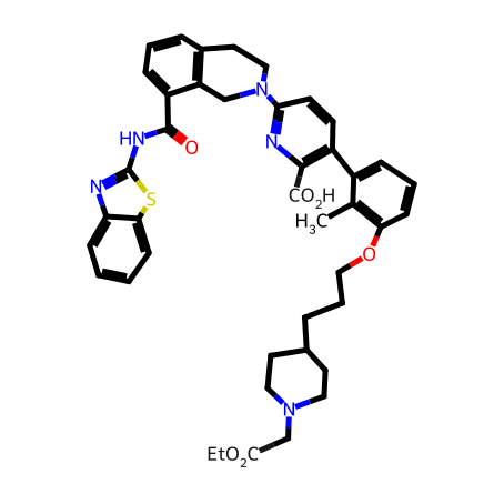 CCOC(=O)CN1CCC(CCCOc2cccc(-c3ccc(N4CCc5cccc(C(=O)Nc6nc7ccccc7s6)c5C4)nc3C(=O)O)c2C)CC1